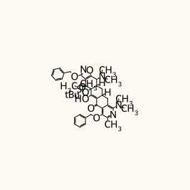 Cc1nc(N(C)C)c2c(c1OCc1ccccc1)C(=O)C1=C(O)[C@]3(O[Si](C)(C)C(C)(C)C)C(=O)c4c(OCc5ccccc5)noc4[C@@H](N(C)C)[C@@H]3C[C@@H]1C2